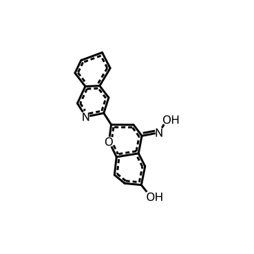 O/N=c1\cc(-c2cc3ccccc3cn2)oc2ccc(O)cc12